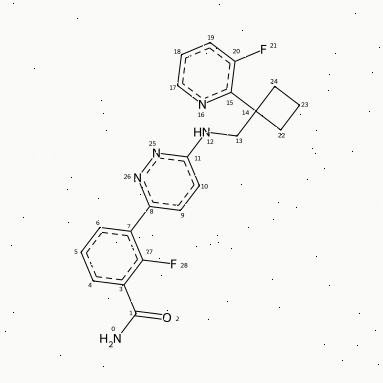 NC(=O)c1cccc(-c2ccc(NCC3(c4ncccc4F)CCC3)nn2)c1F